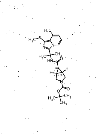 CSc1nc(C(C)(C)NC(=O)[C@H]2[C@@H]3CN(C(=O)OC(C)(C)C)C[C@@H]32)n2cccc(C)c12